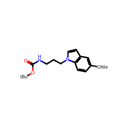 COc1ccc2c(ccn2CCCNC(=O)OC(C)(C)C)c1